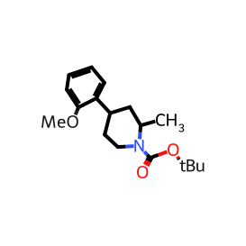 COc1ccccc1C1CCN(C(=O)OC(C)(C)C)C(C)C1